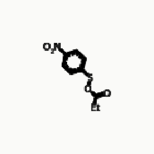 CCC(=O)OSc1ccc([N+](=O)[O-])cc1